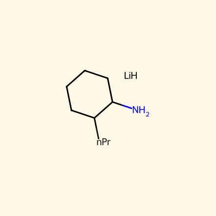 CCCC1CCCCC1N.[LiH]